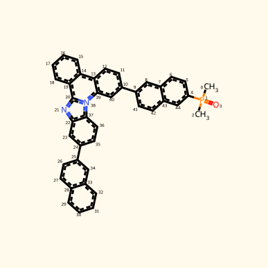 CP(C)(=O)c1ccc2cc(-c3ccc4c5ccccc5c5nc6cc(-c7ccc8ccccc8c7)ccc6n5c4c3)ccc2c1